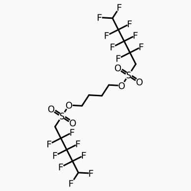 O=S(=O)(CC(F)(F)C(F)(F)C(F)(F)C(F)F)OCCCCOS(=O)(=O)CC(F)(F)C(F)(F)C(F)(F)C(F)F